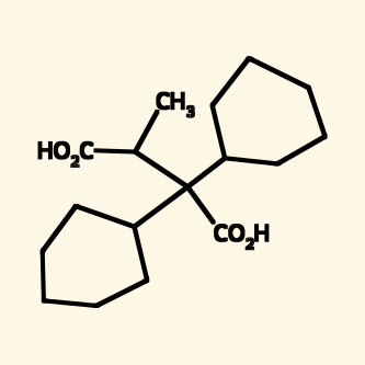 CC(C(=O)O)C(C(=O)O)(C1CCCCC1)C1CCCCC1